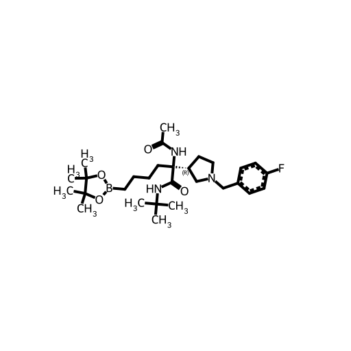 CC(=O)NC(CCCCB1OC(C)(C)C(C)(C)O1)(C(=O)NC(C)(C)C)[C@@H]1CCN(Cc2ccc(F)cc2)C1